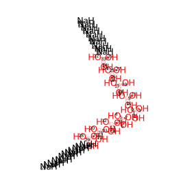 OB(O)O.OB(O)O.OB(O)O.OB(O)O.OB(O)O.OB(O)O.OB(O)O.OB(O)O.OB(O)O.[NaH].[NaH].[NaH].[NaH].[NaH].[NaH].[NaH].[NaH].[NaH].[NaH].[NaH].[NaH].[NaH].[NaH].[NaH].[NaH].[NaH].[NaH].[NaH].[NaH].[NaH].[NaH]